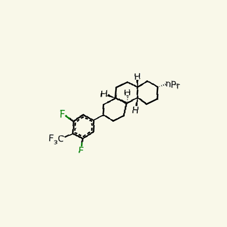 CCC[C@@H]1CC[C@H]2[C@H](CC[C@H]3CC(c4cc(F)c(C(F)(F)F)c(F)c4)CC[C@@H]32)C1